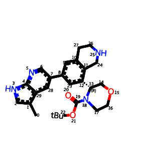 Cc1c[nH]c2ncc(-c3cc4c(c([C@@H]5COCCN5C(=O)OC(C)(C)C)c3)CNCC4)cc12